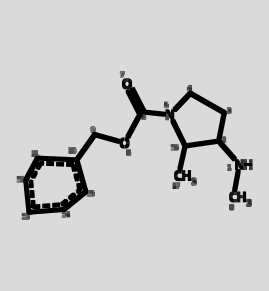 CNC1CCN(C(=O)OCc2ccccc2)C1C